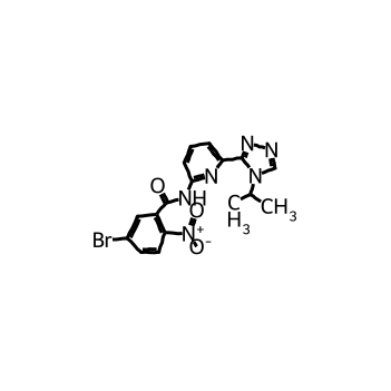 CC(C)n1cnnc1-c1cccc(NC(=O)c2cc(Br)ccc2[N+](=O)[O-])n1